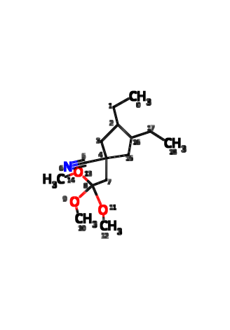 CCC1CC(C#N)(CC(OC)(OC)OC)CC1CC